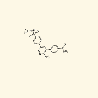 NC(=O)c1ccc(-c2cc(-c3ccc(S(=O)(=O)NC4CC4)cc3)cnc2N)cc1